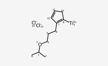 CC(C)OCCCC1=[C]([Ti+2])CC=C1.[Cl-].[Cl-]